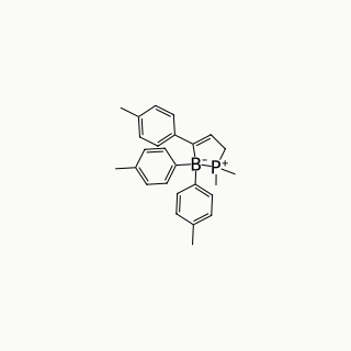 Cc1ccc(C2=CC[P+](C)(C)[B-]2(c2ccc(C)cc2)c2ccc(C)cc2)cc1